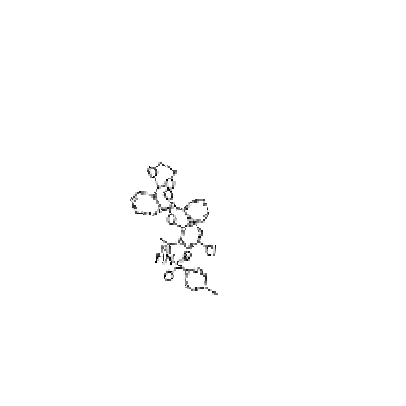 Cc1ccc(S(=O)(=O)N[C@@H](C)c2cc(Cl)ccc2OP(=O)(c2ccccc2)c2ccccc2C2OCCO2)cc1